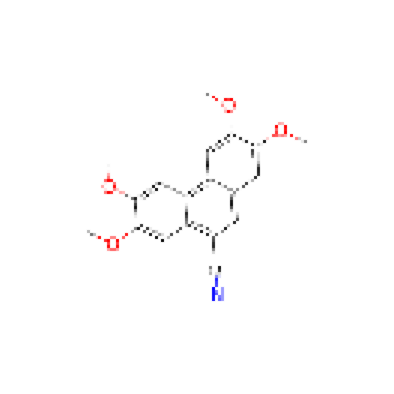 COc1cc2cc(C#N)c3cc(OC)c(OC)cc3c2cc1OC